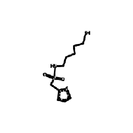 O=S(=O)(Cc1cccs1)NCCCCCS